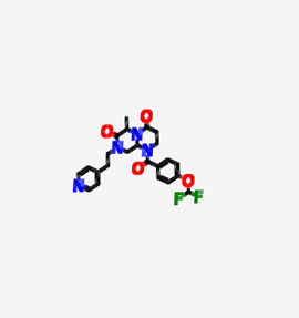 CC1C(=O)N(CCc2ccncc2)CC2N(C(=O)c3ccc(OC(F)F)cc3)CCC(=O)N12